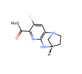 COC(=O)c1nc2c(cc1F)N1CC[C@@H](C1)N2